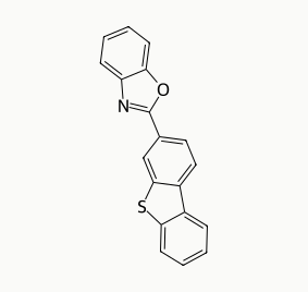 c1ccc2oc(-c3ccc4c(c3)sc3ccccc34)nc2c1